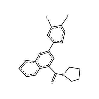 O=C(c1cc(-c2ccc(F)c(F)c2)nc2ccccc12)N1CCCC1